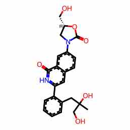 CC(O)(CO)Cc1ccccc1-c1cc2ccc(N3C[C@H](CO)OC3=O)cc2c(=O)[nH]1